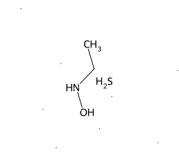 CCNO.S